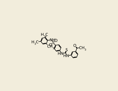 CC(=O)c1cccc(NC(=S)Nc2ccc(S(=O)(=O)Nc3c(C)cc(C)cc3C)cc2)c1